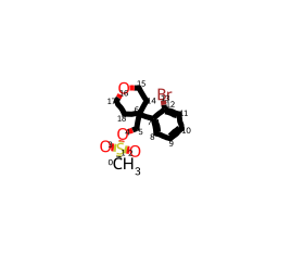 CS(=O)(=O)OCC1(c2ccccc2Br)CCOCC1